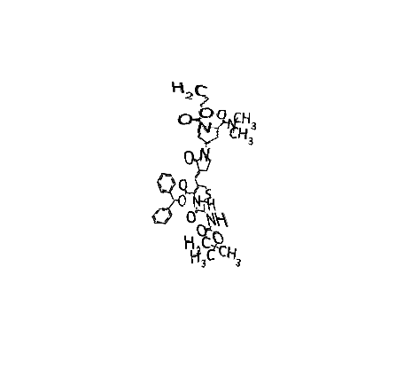 C=CCOC(=O)N1C[C@@H](N2CCC(=CC3=C(C(=O)OC(c4ccccc4)c4ccccc4)N4C(=O)[C@@H](NC(=O)OC(C)(C)C)[C@H]4SC3)C2=O)C[C@@H]1C(=O)N(C)C